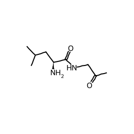 CC(=O)CNC(=O)[C@@H](N)CC(C)C